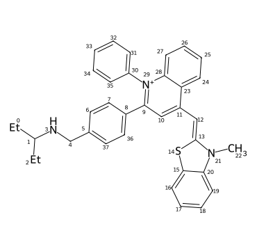 CCC(CC)NCc1ccc(-c2cc(C=C3Sc4ccccc4N3C)c3ccccc3[n+]2-c2ccccc2)cc1